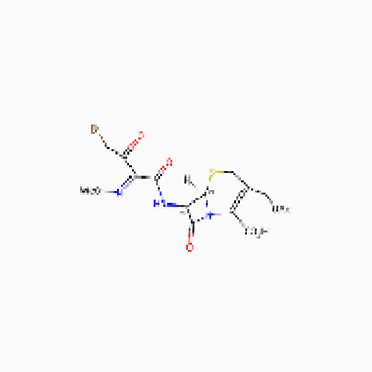 CON=C(C(=O)CBr)C(=O)N[C@@H]1C(=O)N2C(C(=O)O)=C(COC(C)=O)CS[C@H]12